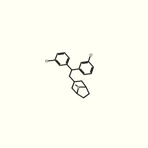 CN1C2CCC1CC(CC(c1cccc(Cl)c1)c1cccc(Cl)c1)C2